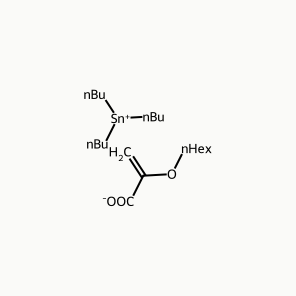 C=C(OCCCCCC)C(=O)[O-].CCC[CH2][Sn+]([CH2]CCC)[CH2]CCC